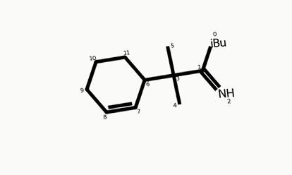 CCC(C)C(=N)C(C)(C)C1C=CCCC1